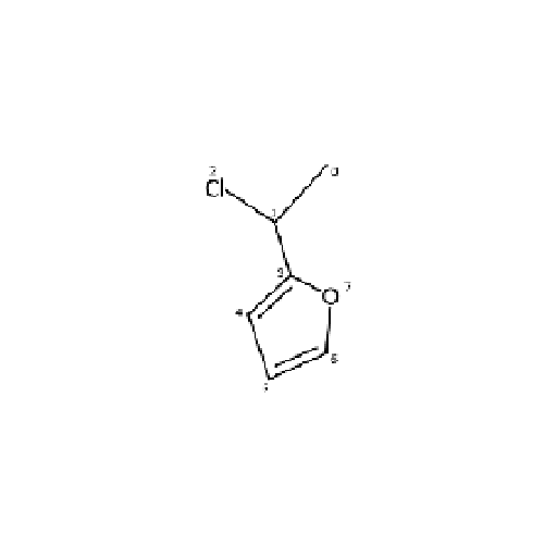 CC(Cl)c1ccco1